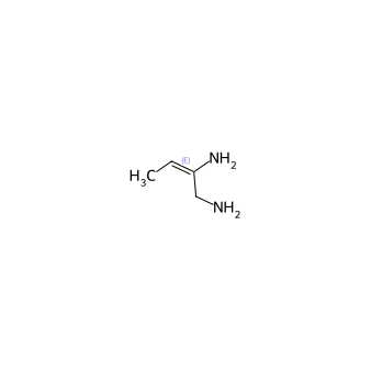 C/C=C(/N)CN